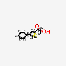 CC(C)(O)C(=O)c1cc(-c2ccccc2)cs1